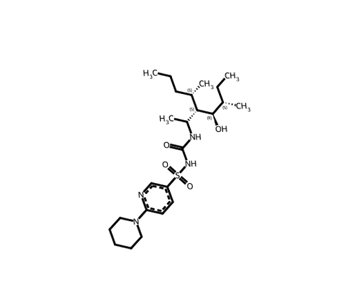 CCC[C@H](C)[C@@H](C(C)NC(=O)NS(=O)(=O)c1ccc(N2CCCCC2)nc1)[C@H](O)[C@@H](C)CC